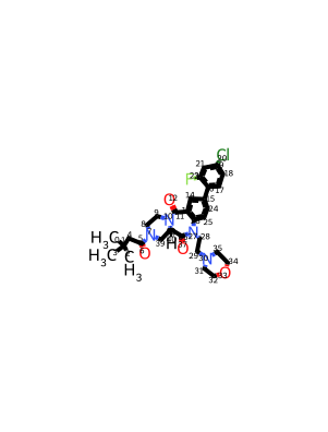 CC(C)(C)CC(=O)N1CCN2C(=O)c3cc(-c4ccc(Cl)cc4F)ccc3N(CCN3CCOCC3)C(=O)[C@@H]2C1